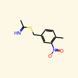 CC(=N)SCc1ccc(C)c([N+](=O)[O-])c1